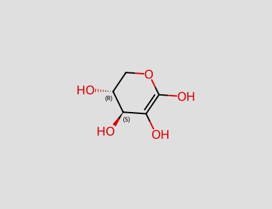 OC1=C(O)[C@@H](O)[C@H](O)CO1